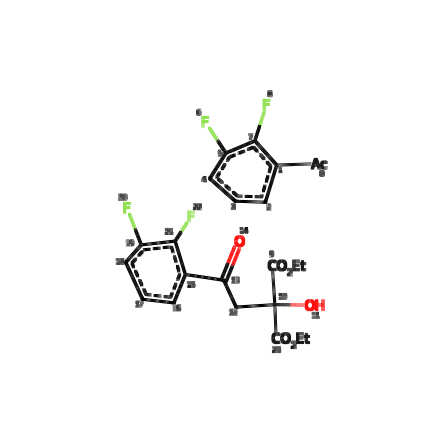 CC(=O)c1cccc(F)c1F.CCOC(=O)C(O)(CC(=O)c1cccc(F)c1F)C(=O)OCC